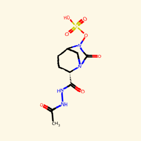 CC(=O)NNC(=O)[C@@H]1CCC2CN1C(=O)N2OS(=O)(=O)O